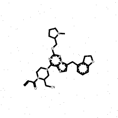 C=CC(=O)N1CCN(c2nc(OCC3CCCN3C)nn3c(Cc4cccc5c4CCO5)cnc23)CC1CC#N